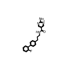 Nc1ncc(C(=O)NCCCc2ccc(-c3ccccc3F)cc2)cn1